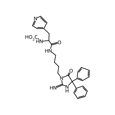 N=C1NC(c2ccccc2)(c2ccccc2)C(=O)N1CCCCNC(=O)C(Cc1ccncc1)NC(=O)O